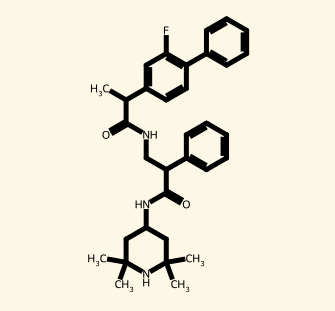 CC(C(=O)NCC(C(=O)NC1CC(C)(C)NC(C)(C)C1)c1ccccc1)c1ccc(-c2ccccc2)c(F)c1